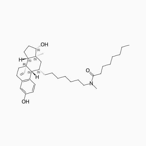 C=C[C@@]12CCc3cc(O)ccc3[C@H]1[C@@H](CCCCCCCN(C)C(=O)CCCCCCC)C[C@@]1(C)[C@H]2CC[C@@H]1O